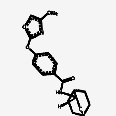 COc1coc(Oc2ccc(C(=O)N[C@H]3CN4CCC3CC4)cc2)n1